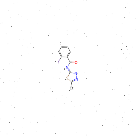 CCC1=N[N]C(=NC(=O)c2ccccc2I)S1